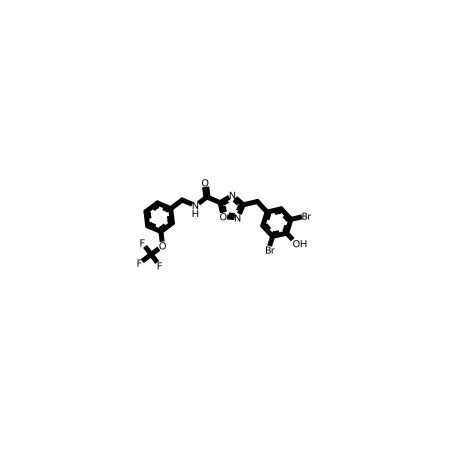 O=C(NCc1cccc(OC(F)(F)F)c1)c1nc(Cc2cc(Br)c(O)c(Br)c2)no1